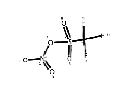 O=[N+]([O-])OS(=O)(=O)C(F)(F)F